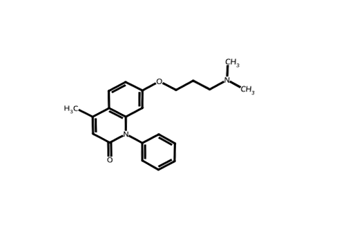 Cc1cc(=O)n(-c2ccccc2)c2cc(OCCCN(C)C)ccc12